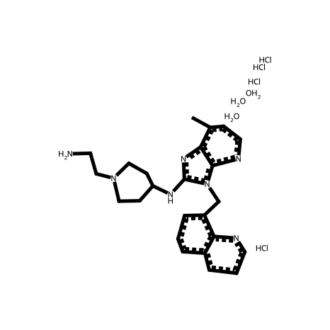 Cc1ccnc2c1nc(NC1CCN(CCN)CC1)n2Cc1cccc2cccnc12.Cl.Cl.Cl.Cl.O.O.O